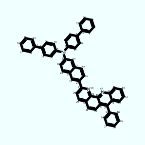 c1ccc(-c2ccc(N(c3ccc(-c4ccccc4)cc3)c3ccc4cc(-c5ccc6ccc7c(-c8ccccc8)c8ccccc8nc7c6n5)ccc4c3)cc2)cc1